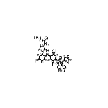 CN(C(=O)OC(C)(C)C)C1CCN(c2cc(F)ccc2Nc2cc(F)c(S(=O)(=O)N(C(=O)OC(C)(C)C)c3cscn3)cc2Cl)C1